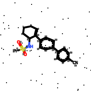 CC(C)S(=O)(=O)NC1CCCC=C1c1ccc(-c2ccc(C#N)cc2)cc1